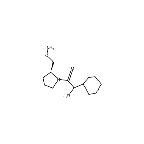 COC[C@@H]1CCCN1C(=O)C(N)C1CCCCC1